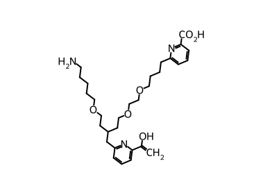 C=C(O)c1cccc(CC(CCOCCCCCN)CCOCCOCCCCc2cccc(C(=O)O)n2)n1